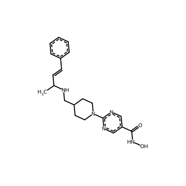 CC(/C=C/c1ccccc1)NCC1CCN(c2ncc(C(=O)NO)cn2)CC1